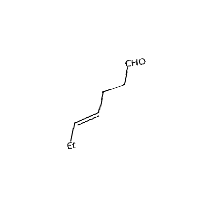 CCC=CCCC=O